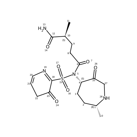 C[C@@H]1CC[C@H](N(C(=O)[CH]C[C@H](C)C(N)=O)S(=O)(=O)C2=NC=CCC2=O)C(=O)CN1